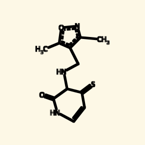 Cc1noc(C)c1CNC1C(=O)NC=CC1=S